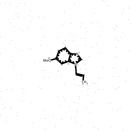 C/C=C/n1cnc2ccc(OC)cc21